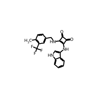 Cc1ccc(CNc2c(Nc3c[nH]c4ccccc34)c(=O)c2=O)cc1C(F)(F)F